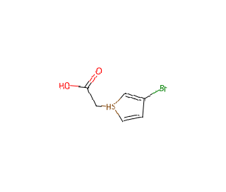 O=C(O)C[SH]1C=CC(Br)=C1